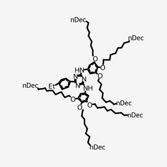 [CH2]Cc1ccc(-c2nc(Nc3cc(OCCCCCCCCCCCCCCCCCC)c(OCCCCCCCCCCCCCCCCCC)c(OCCCCCCCCCCCCCCCCCC)c3)nc(Nc3cc(OCCCCCCCCCCCCCCCCCC)c(OCCCCCCCCCCCCCCCCCC)c(OCCCCCCCCCCCCCCCCCC)c3)n2)cc1